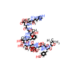 CC(C)C[C@@H]([C]=O)NC(=O)[C@H](Cc1ccc(O)cc1)NC(=O)[C@H](CO)NC(=O)[C@H](CO)NC(=O)[C@@H](NC(=O)[C@H](CC(=O)O)NC(=O)[C@H](CO)NC(=O)[C@@H](NC(=O)[C@H](Cc1ccccc1)NC(=O)[C@@H](NC(=O)CNC(=O)[C@H](CCC(=O)O)NC(=O)C(C)(C)NC(=O)[C@@H](N)Cc1c[nH]cn1)[C@@H](C)O)[C@@H](C)O)C(C)C